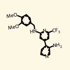 COc1ccc(CNc2cc(-c3ccncc3N)cc(C(F)(F)F)n2)cc1OC